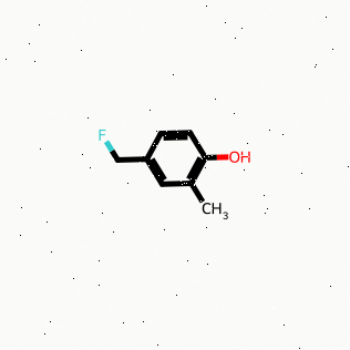 Cc1cc(CF)ccc1O